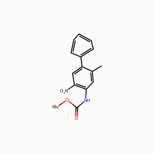 Cc1cc(NC(=O)OC(C)(C)C)c([N+](=O)[O-])cc1-c1ccccc1